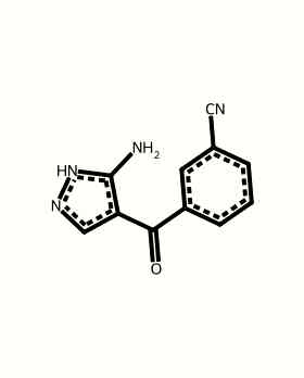 N#Cc1cccc(C(=O)c2cn[nH]c2N)c1